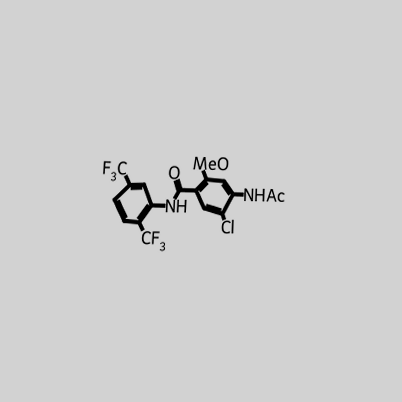 COc1cc(NC(C)=O)c(Cl)cc1C(=O)Nc1cc(C(F)(F)F)ccc1C(F)(F)F